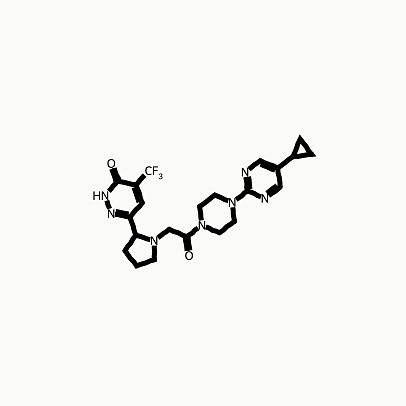 O=C(CN1CCCC1c1cc(C(F)(F)F)c(=O)[nH]n1)N1CCN(c2ncc(C3CC3)cn2)CC1